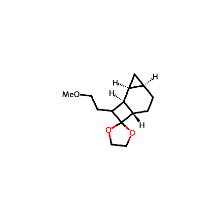 COCCC1[C@H]2[C@H]3C[C@H]3CC[C@@H]2C12OCCO2